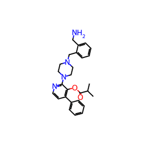 CC(C)C(=O)Oc1c(-c2ccccc2)ccnc1N1CCN(Cc2ccccc2CN)CC1